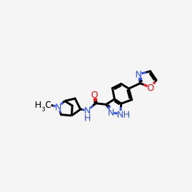 CN1CC2CC1CC2NC(=O)c1n[nH]c2cc(-c3ncco3)ccc12